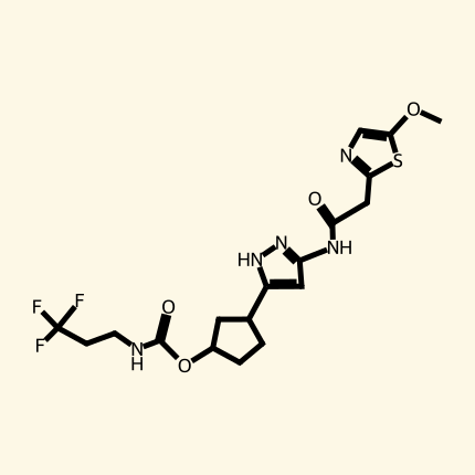 COc1cnc(CC(=O)Nc2cc(C3CCC(OC(=O)NCCC(F)(F)F)C3)[nH]n2)s1